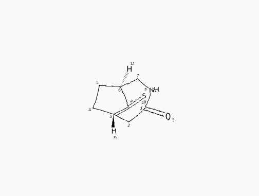 O=C1C[C@@H]2CC[C@@H](CN1)C2=S